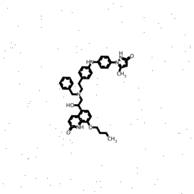 CCCCOc1ccc(C(O)CN(CCc2ccc(Nc3ccc(-n4[nH]c(=O)cc4C)cc3)cc2)Cc2ccccc2)c2ccc(=O)[nH]c12